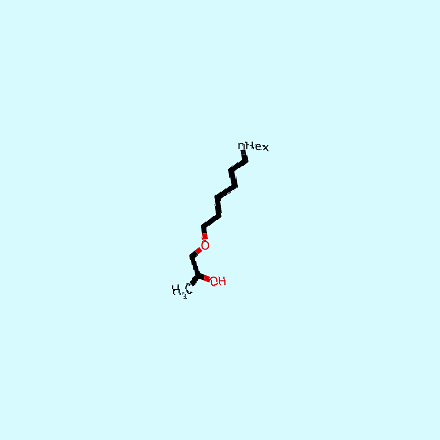 CCCCCCCCCCCCOCC(C)O